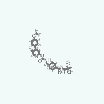 CC(C)(F)c1nc(C23CCC(CNC(=O)Oc4cc(-c5ccc(OC(F)F)cc5)c(F)cn4)(CC2)CC3)no1